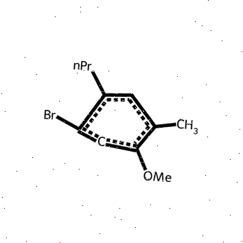 CCCc1cc(C)c(OC)cc1Br